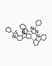 c1ccc(-c2cc(-n3c4ccccc4c4cccc(-c5ccc6c(c5)c5ccc7nc(-c8ccccc8)sc7c5n6-c5ccccc5)c43)nc(-c3ccccc3)n2)cc1